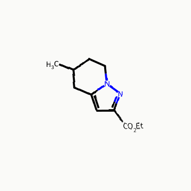 CCOC(=O)c1cc2n(n1)CCC(C)C2